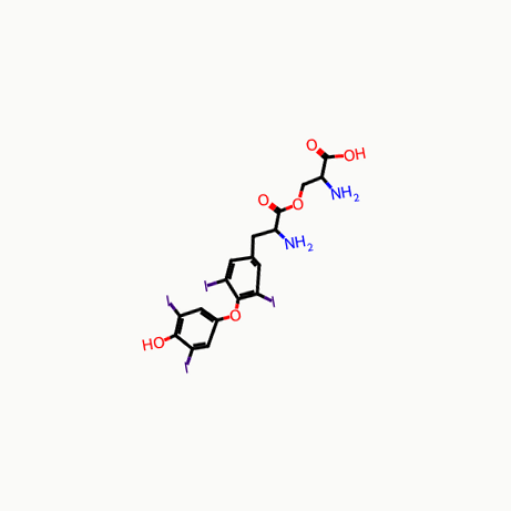 NC(COC(=O)C(N)Cc1cc(I)c(Oc2cc(I)c(O)c(I)c2)c(I)c1)C(=O)O